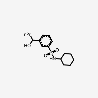 CCCC(O)c1cccc(S(=O)(=O)NC2CCCCC2)c1